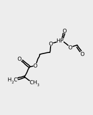 C=C(C)C(=O)OCCO[PH](=O)OC=O